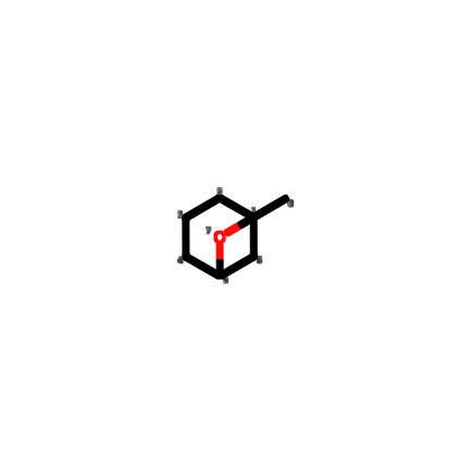 CC12CCCC(C1)O2